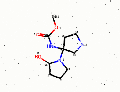 CC(C)(C)OC(=O)NC1(N2CCCC2O)CC[N]C1